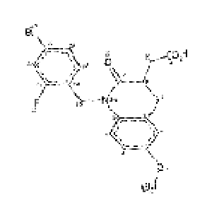 CC(C)(C)Oc1ccc2c(c1)SC(CC(=O)O)C(=O)N2Cc1ccc(Br)cc1F